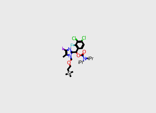 Cc1c(I)nc(C(OC(=O)N(C(C)C)C(C)C)c2ccc(Cl)c(Cl)c2F)n1COCC[Si](C)(C)C